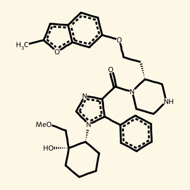 COC[C@]1(O)CCCC[C@H]1n1cnc(C(=O)N2CCNC[C@H]2CCOc2ccc3cc(C)oc3c2)c1-c1ccccc1